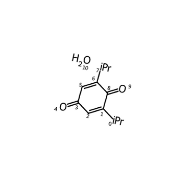 CC(C)C1=CC(=O)C=C(C(C)C)C1=O.O